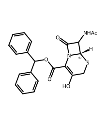 CC(=O)NC1C(=O)N2C(C(=O)OC(c3ccccc3)c3ccccc3)=C(O)CS[C@@H]12